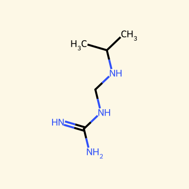 CC(C)NCNC(=N)N